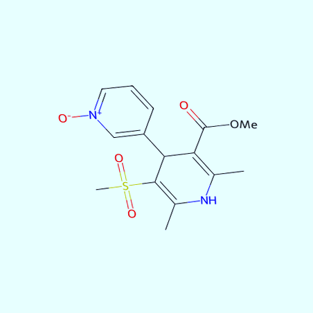 COC(=O)C1=C(C)NC(C)=C(S(C)(=O)=O)C1c1ccc[n+]([O-])c1